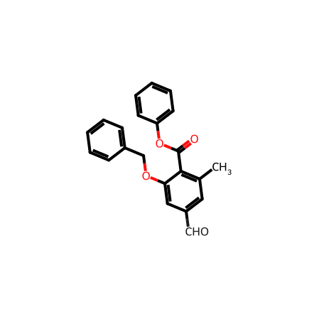 Cc1cc(C=O)cc(OCc2ccccc2)c1C(=O)Oc1ccccc1